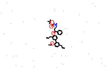 C=CCc1ccc(OCC)c(-c2ccc(OC(CCN(C)C(=O)OC(C)(C)C)c3ccccc3)c(CC=C)c2)c1